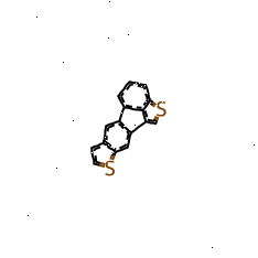 c1cc2c3c(csc3c1)-c1cc3sccc3cc1-2